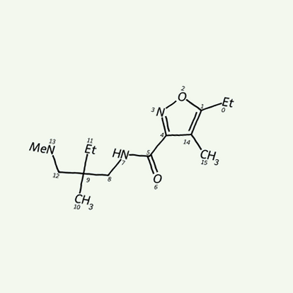 CCc1onc(C(=O)NCC(C)(CC)CNC)c1C